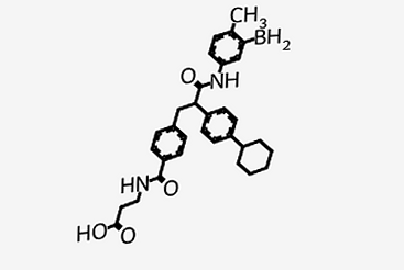 Bc1cc(NC(=O)C(Cc2ccc(C(=O)NCCC(=O)O)cc2)c2ccc(C3CCCCC3)cc2)ccc1C